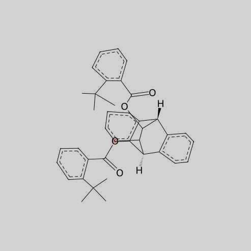 CC(C)(C)c1ccccc1C(=O)OC1C(OC(=O)c2ccccc2C(C)(C)C)[C@H]2c3ccccc3[C@H]1c1ccccc12